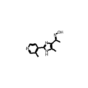 CC(=NO)c1nc(-c2ccncc2C)[nH]c1C